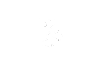 CC(=O)c1cccc(-c2cc3cccnc3c3ncccc23)c1